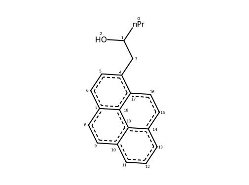 CCCC(O)Cc1ccc2ccc3cccc4ccc1c2c34